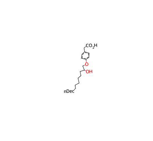 CCCCCCCCCCCCCCCCC(O)COc1ccc(CC(=O)O)cc1